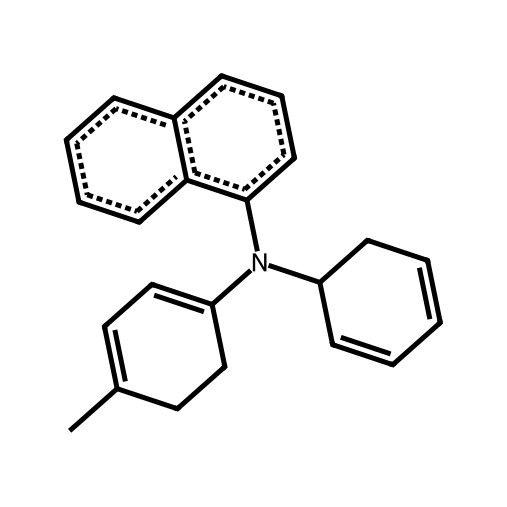 CC1=CC=C(N(c2cccc3ccccc23)C2C=CC=CC2)CC1